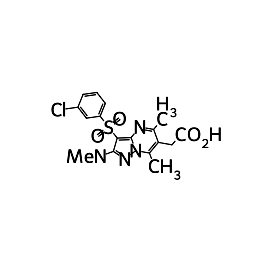 CNc1nn2c(C)c(CC(=O)O)c(C)nc2c1S(=O)(=O)c1cccc(Cl)c1